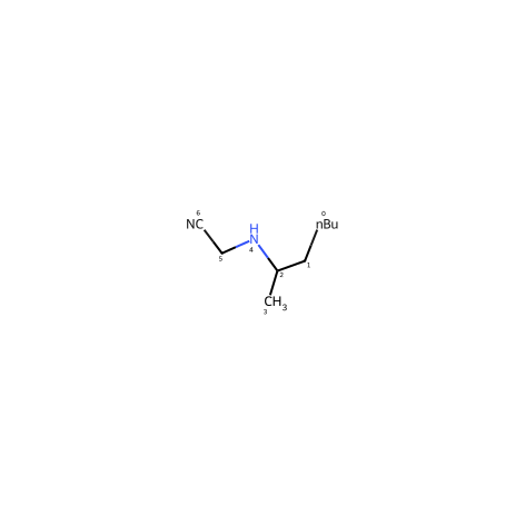 CCCCCC(C)NCC#N